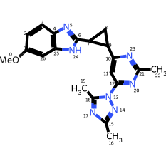 COc1ccc2nc(C3CC3c3cc(-n4nc(C)nc4C)nc(C)n3)[nH]c2c1